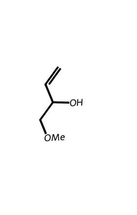 C=CC(O)COC